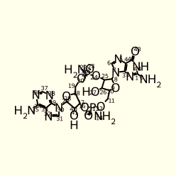 Nc1nc2c(ncn2C2OC3COP(N)(=O)OC4C(COP(N)(=O)OC2C3O)OC(n2cnc3c(N)ncnc32)C4O)c(=O)[nH]1